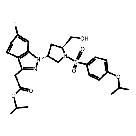 CC(C)OC(=O)Cc1nn([C@@H]2C[C@@H](CO)N(S(=O)(=O)c3ccc(OC(C)C)cc3)C2)c2cc(F)ccc12